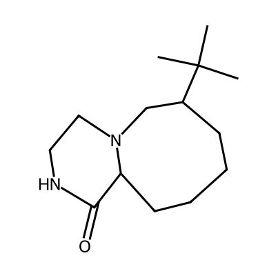 CC(C)(C)C1CCCCC2C(=O)NCCN2C1